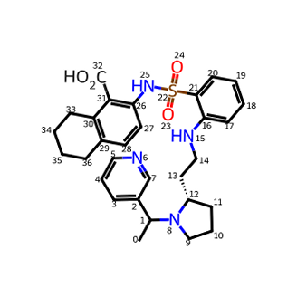 CC(c1cccnc1)N1CCC[C@H]1CCNc1ccccc1S(=O)(=O)Nc1ccc2c(c1C(=O)O)CCCC2